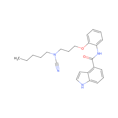 CCCCCN(C#N)CCCOc1ccccc1NC(=O)c1cccc2[nH]ccc12